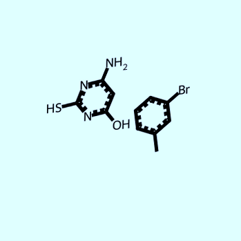 Cc1cccc(Br)c1.Nc1cc(O)nc(S)n1